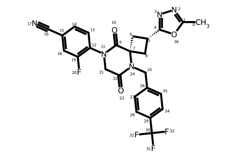 Cc1nnc([C@H]2C[C@@]3(C2)C(=O)N(c2ccc(C#N)cc2F)CC(=O)N3Cc2ccc(C(F)(F)F)cc2)o1